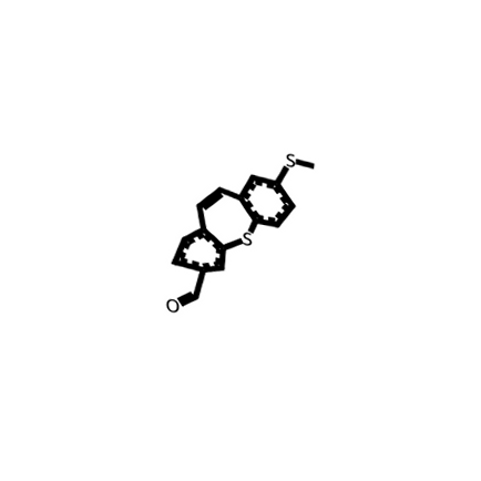 CSc1ccc2c(c1)C=Cc1ccc(C=O)cc1S2